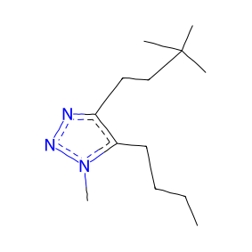 CCCCc1c(CCC(C)(C)C)nnn1C